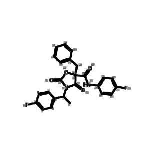 CC(c1ccc(F)cc1)N1C(=O)O[C@](Cc2ccccc2)(C(=O)Nc2ccc(F)cc2)C1=O